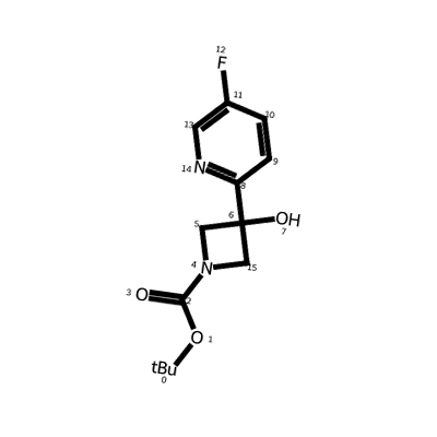 CC(C)(C)OC(=O)N1CC(O)(c2ccc(F)cn2)C1